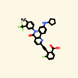 Cc1ccc(NC(=O)c2ccc(C#Cc3c(F)cccc3C(=O)O)nc2-c2ccc(NC3CCCC3)cc2)cc1C(F)(F)F